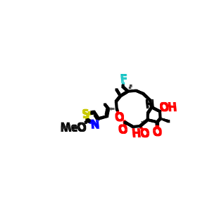 COc1nc(/C=C(\C)[C@@H]2CC(C)[C@@](C)(CF)CCC[C@@H]3C[C@@](C)(C(=O)[C@H](C)[C@H]3O)[C@@H](O)CC(=O)O2)cs1